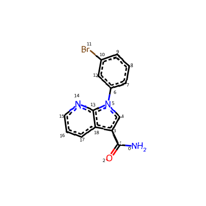 NC(=O)c1cn(-c2cccc(Br)c2)c2ncccc12